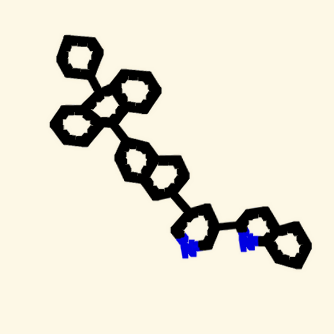 c1ccc(-c2c3ccccc3c(-c3ccc4cc(-c5cncc(-c6ccc7ccccc7n6)c5)ccc4c3)c3ccccc23)cc1